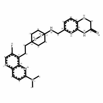 CN(C)c1ccc2ncc(F)c(CCC34CCC(NCc5ccc6c(n5)NC(=O)CO6)(CC3)CO4)c2n1